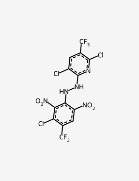 O=[N+]([O-])c1cc(C(F)(F)F)c(Cl)c([N+](=O)[O-])c1NNc1nc(Cl)c(C(F)(F)F)cc1Cl